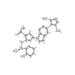 Cc1noc(C)c1-c1ccc2c(c1)ncn2-c1cc(O[C@H](C)c2ccccc2Cl)c(C(=O)O)s1